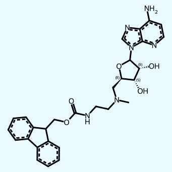 CN(CCNC(=O)OCC1c2ccccc2-c2ccccc21)C[C@H]1OC(n2cnc3c(N)ccnc32)[C@H](O)[C@@H]1O